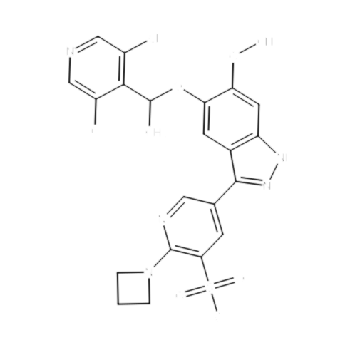 COc1cc2[nH]nc(-c3cnc(N4CCC4)c(S(C)(=O)=O)c3)c2cc1OC(C)c1c(Cl)cncc1Cl